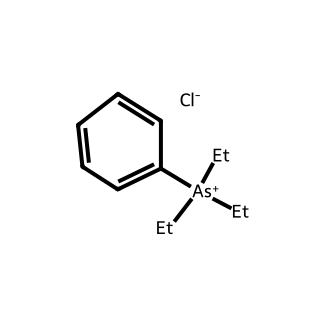 CC[As+](CC)(CC)c1ccccc1.[Cl-]